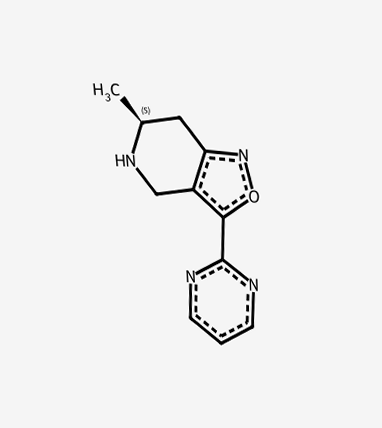 C[C@H]1Cc2noc(-c3ncccn3)c2CN1